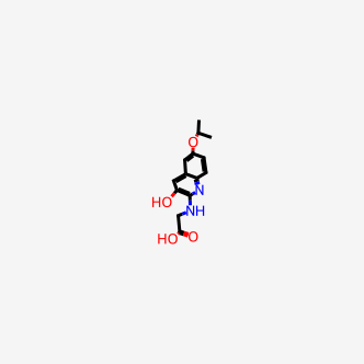 CC(C)Oc1ccc2nc(NCC(=O)O)c(O)cc2c1